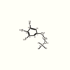 C[Si](C)(C)[O][Zn][O]c1cc(F)c(F)c(F)c1